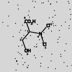 O=C(O)C(CO)N(Cl)Cl